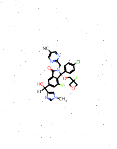 CCC(O)(c1cc(F)c2c(c1)C(=O)N(Cc1ncc(C#N)cn1)[C@@]2(OCC1(F)COC1)c1ccc(Cl)cc1)c1cn(C)cn1